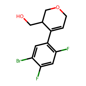 OCC1COCC=C1c1cc(Br)c(F)cc1F